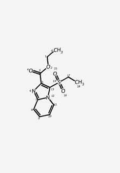 CCOC(=O)c1nc2ccccn2c1S(=O)(=O)CC